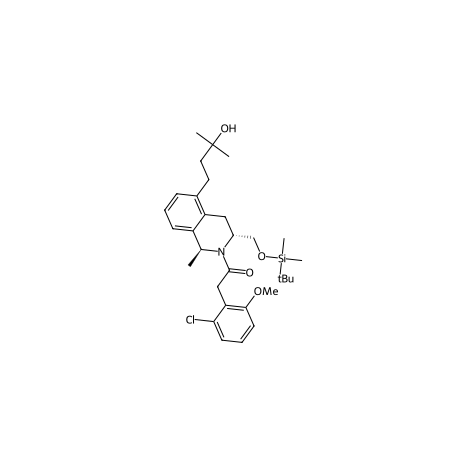 COc1cccc(Cl)c1CC(=O)N1[C@@H](CO[Si](C)(C)C(C)(C)C)Cc2c(CCC(C)(C)O)cccc2[C@@H]1C